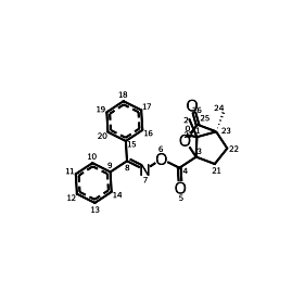 CC1(C)C2(C(=O)ON=C(c3ccccc3)c3ccccc3)CC[C@]1(C)C(=O)O2